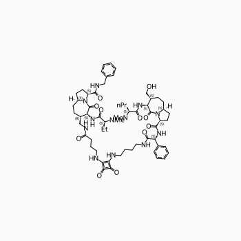 CCC[C@H](NC)C(=O)N[C@@H]1C(=O)N2[C@@H](CC[C@@H]1CO)CC[C@H]2C(=O)N[C@H](C(=O)NCCCCNc1c(NCCCC(=O)NC[C@H]2CC[C@H]3CC[C@@H](C(=O)NCc4ccccc4)N3C(=O)[C@H]2NC(=O)[C@H](CC)NC)c(=O)c1=O)c1ccccc1